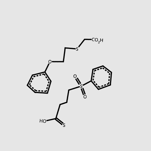 O=C(O)CSCCOc1ccccc1.O=S(=O)(CCCC(O)=S)c1ccccc1